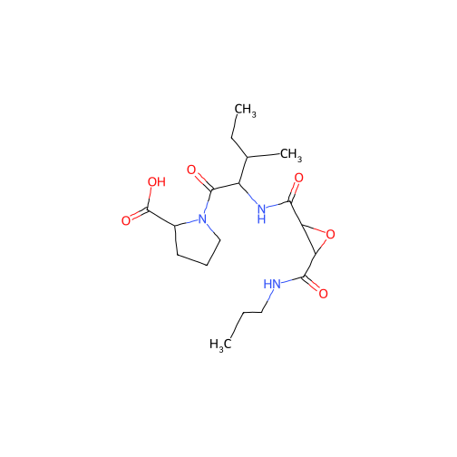 CCCNC(=O)C1OC1C(=O)NC(C(=O)N1CCCC1C(=O)O)C(C)CC